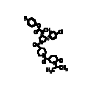 CC(C)N1CC(C(=O)N2CCC(C(=O)N3C[C@@H](N(C)C(=O)Oc4ccc(F)cc4)[C@H](c4ccc(Cl)cc4)C3)CC2)CCC1=O